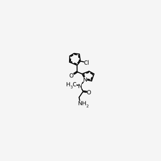 CN(C(=O)CN)n1cccc1C(=O)c1ccccc1Cl